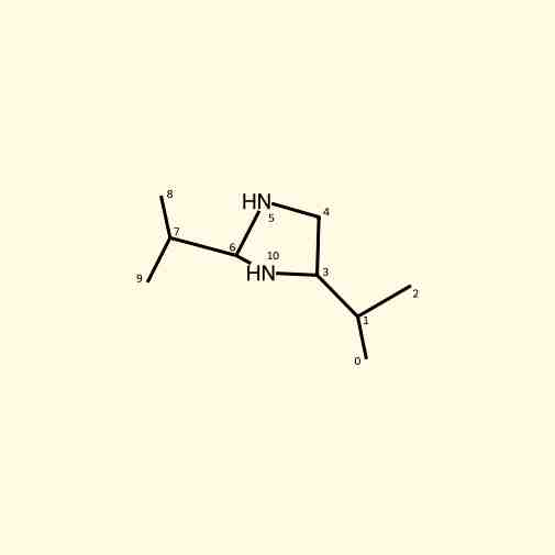 CC(C)C1CNC(C(C)C)N1